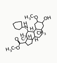 COC(=O)C1CC[C@H]2[C@@H]3CCC4CC(O)C(OC)C[C@]4(C)[C@@H]3C(NC3CCCCC3)C[C@]12C